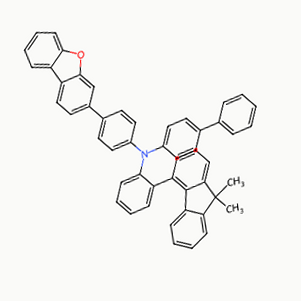 CC1(C)c2ccccc2-c2c(-c3ccccc3N(c3ccc(-c4ccccc4)cc3)c3ccc(-c4ccc5c(c4)oc4ccccc45)cc3)cccc21